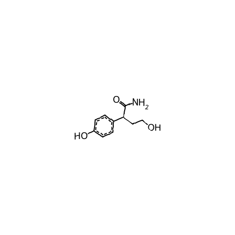 NC(=O)C(CCO)c1ccc(O)cc1